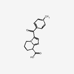 Cc1ccc(C(=O)c2ccc3n2CCCC3C(=O)O)cc1